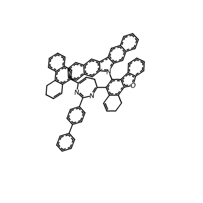 C1=Cc2c(C3=CCC(c4c5c(c6oc7ccccc7c6c4-n4c6cc7ccccc7cc6c6cc7ccccc7cc64)CCC=C5)=NC(c4ccc(-c5ccccc5)cc4)=N3)cc3ccccc3c2CC1